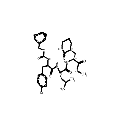 COC(=O)[C@H](C[C@@H]1CCCNC1=O)NC(=O)[C@H](CC(C)C)NC(=O)C(Cc1ccc(O)cc1)NC(=O)OCc1ccccc1